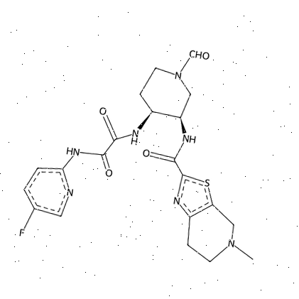 CN1CCc2nc(C(=O)N[C@@H]3CN(C=O)CC[C@@H]3NC(=O)C(=O)Nc3ccc(F)cn3)sc2C1